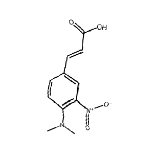 CN(C)c1ccc(C=CC(=O)O)cc1[N+](=O)[O-]